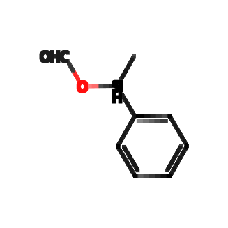 C[SiH](OC=O)c1ccccc1